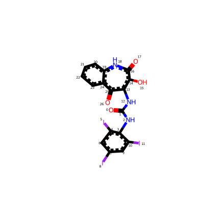 O=C(Nc1c(I)cc(I)cc1I)Nc1c(O)c(=O)[nH]c2ccccc2c1=O